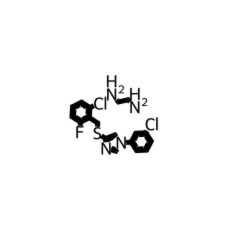 Fc1cccc(Cl)c1CSc1cn(-c2cccc(Cl)c2)cn1.NCCN